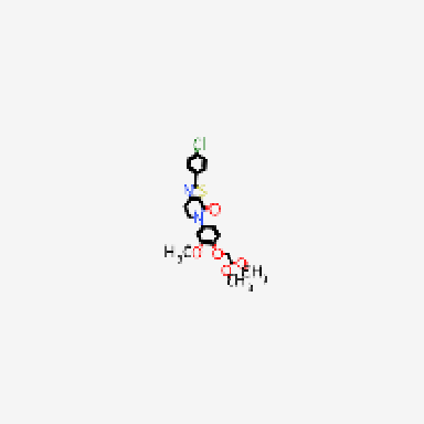 COc1cc(N2CCc3nc(-c4ccc(Cl)cc4)sc3C2=O)ccc1OCC(OC)OC